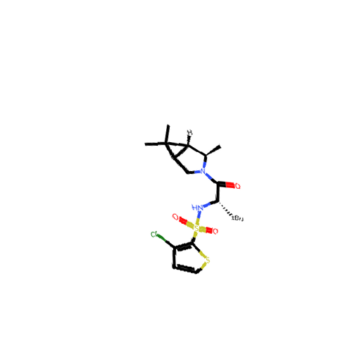 C[C@@H]1[C@@H]2C(CN1C(=O)[C@@H](NS(=O)(=O)c1sccc1Cl)C(C)(C)C)C2(C)C